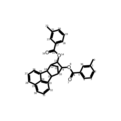 Cc1cccc(C(=O)OC2C3CC(C2OC(=O)c2cccc(C)c2)C2c4cccc5cccc(c45)C32)c1